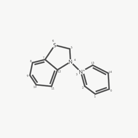 c1cc[n+](N2CSc3ccccc32)cc1